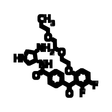 CCCOCCOCCOc1ccc(F)c(F)c1C(=O)c1ccc(C(=O)N[C@@H]2CNC[C@H]2N)cc1